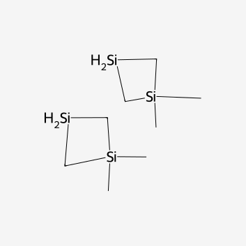 C[Si]1(C)C[SiH2]C1.C[Si]1(C)C[SiH2]C1